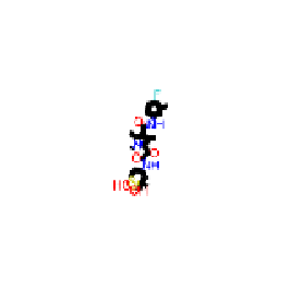 Cc1cc(NC(=O)c2c(C)c(C(=O)C(=O)NC3CCS(O)(O)C(C)(C)C3)n(C)c2C)ccc1F